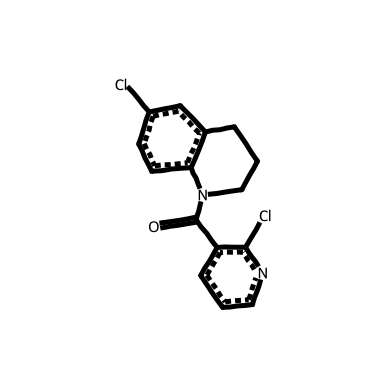 O=C(c1cccnc1Cl)N1CCCc2cc(Cl)ccc21